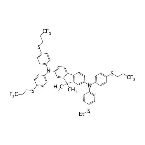 CCSc1ccc(N(c2ccc(SCCC(F)(F)F)cc2)c2ccc3c(c2)C(C)(C)c2cc(N(c4ccc(SCCC(F)(F)F)cc4)c4ccc(SCCC(F)(F)F)cc4)ccc2-3)cc1